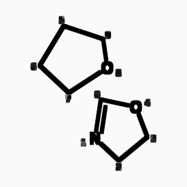 C1=NCCO1.C1CCOC1